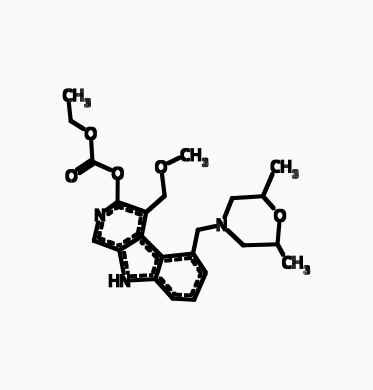 CCOC(=O)Oc1ncc2[nH]c3cccc(CN4CC(C)OC(C)C4)c3c2c1COC